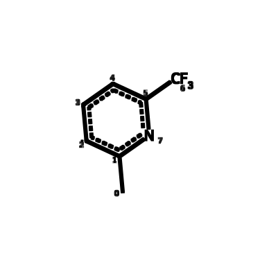 Cc1[c]ccc(C(F)(F)F)n1